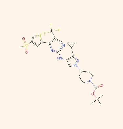 CC(C)(C)OC(=O)N1CCC(n2cc(Nc3ncc(C(F)(F)F)c(-c4cc(S(C)(=O)=O)cs4)n3)c(C3CC3)n2)CC1